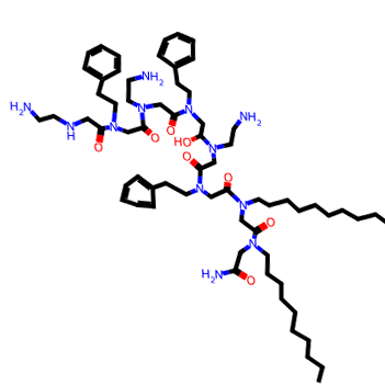 CCCCCCCCCCN(CC(N)=O)C(=O)CN(CCCCCCCCCC)C(=O)CN(CCc1ccccc1)C(=O)CN(CCN)C(O)CN(CCc1ccccc1)C(=O)CN(CCN)C(=O)CN(CCc1ccccc1)C(=O)CNCCN